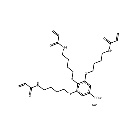 C=CC(=O)NCCCCOc1cc(C(=O)[O-])cc(OCCCCNC(=O)C=C)c1OCCCCNC(=O)C=C.[Na+]